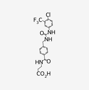 O=C(O)CCNC(=O)c1ccc(CNC(=O)Nc2ccc(Cl)c(C(F)(F)F)c2)cc1